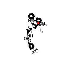 CC(C)(C)C1CN(c2nc(CNC(=O)OCc3ccc([N+](=O)[O-])cc3)cs2)C1O[SiH](c1ccccc1)c1ccccc1